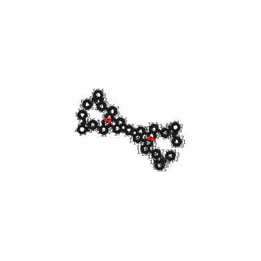 CC12CCCCC1(C)N(c1ccccc1)c1ccc(-c3cccc4c(-c5ccc6c7cc8c(cc7c7ccc(-c9cccc%10c(-c%11ccc%12c(c%11)C%11(C)CCCCC%11(C)N%12c%11ccccc%11)cccc9%10)c5c67)c5ccc(-c6cccc7c(-c9ccc%10c(c9)C9(C)CCCCC9(C)N%10c9ccccc9)cccc67)c6c(-c7cccc9c(-c%10ccc%11c(c%10)C%10(C)CCCCC%10(C)N%11c%10ccccc%10)cccc79)ccc8c65)cccc34)cc12